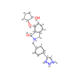 Cn1cc(-c2ccc(CN3Cc4cccc(O[C@H]5CCC[C@@H]5O)c4C3=O)cc2)nn1